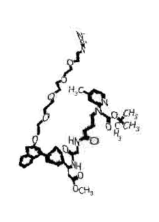 COC(=O)C[C@H](NC(=O)CNC(=O)CCCN(C(=O)OC(C)(C)C)c1cc(C)ccn1)c1ccc(-c2cc(OCCOCCOCCOCCOCCN=[N+]=[N-])cc3ccccc23)cc1